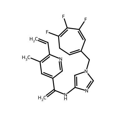 C=Cc1ncc(C(=C)Nc2cn(CC3=CCC(F)=C(F)C(F)=C3)cn2)cc1C